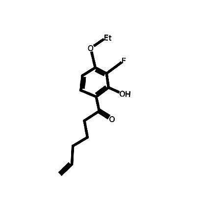 C=CCCCC(=O)c1ccc(OCC)c(F)c1O